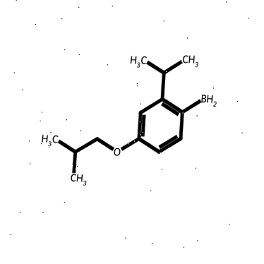 Bc1ccc(OCC(C)C)cc1C(C)C